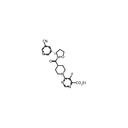 CCOC(=O)c1ncnc(N2CCC(C(=O)N3OCC[C@H]3c3cncc(C#N)c3)CC2)c1F